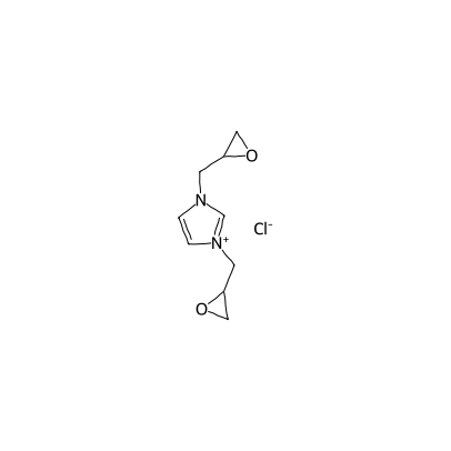 [Cl-].c1c[n+](CC2CO2)cn1CC1CO1